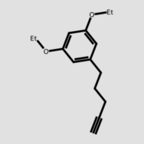 C#CCCCc1cc(OCC)cc(OCC)c1